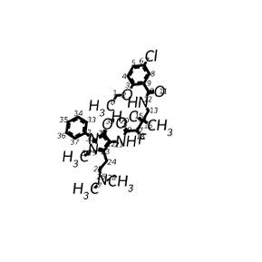 CCOc1ccc(Cl)cc1C(=O)NCC(C)(C)C(F)C(=O)Nc1c(CCN(C)C)n(C)n(-c2ccccc2)c1=O